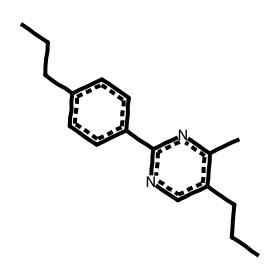 CCCc1ccc(-c2ncc(CCC)c(C)n2)cc1